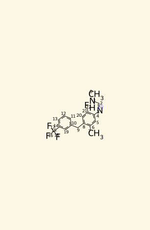 CN/C=N\c1cc(C)c(Cc2cccc(C(F)(F)F)c2)cc1F